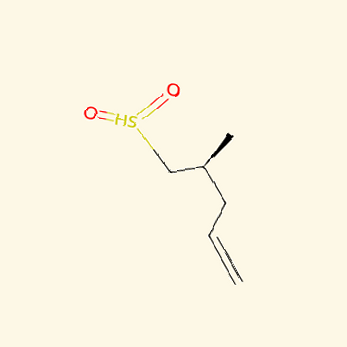 C=CC[C@H](C)C[SH](=O)=O